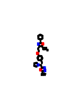 CCCc1nnc([C@@H](Cc2ccc(OCCc3nc(-c4ccccc4)oc3C)cc2)n2cccc2)o1